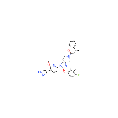 COc1nc(N2CC3(CCN(C(=O)CC(C)c4ccccc4)CC3)N(Cc3cccc(F)c3C)C2=O)ccc1-c1cn[nH]c1